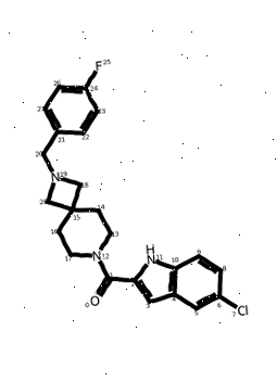 O=C(c1cc2cc(Cl)ccc2[nH]1)N1CCC2(CC1)CN(Cc1ccc(F)cc1)C2